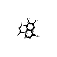 CC1COc2c(F)c(F)cc3c(=O)ccn1c23